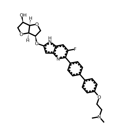 CN(C)CCOc1ccc(-c2ccc(-c3nc4cc(O[C@@H]5CO[C@H]6[C@@H]5OC[C@H]6O)[nH]c4cc3F)cc2)cc1